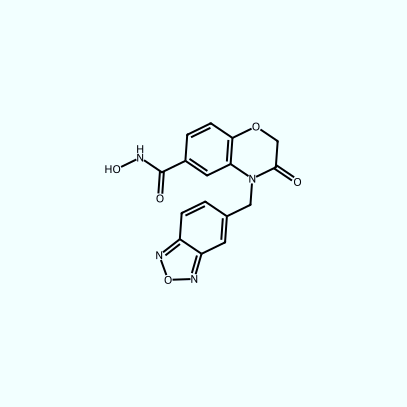 O=C(NO)c1ccc2c(c1)N(Cc1ccc3nonc3c1)C(=O)CO2